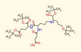 CC(C)(C)OCCCC(NCCCC(NC(=O)CCC(=O)O)C(=O)NC(CCC(=O)OC(C)(C)C)C(=O)OC(C)(C)C)C(O)OC(C)(C)C